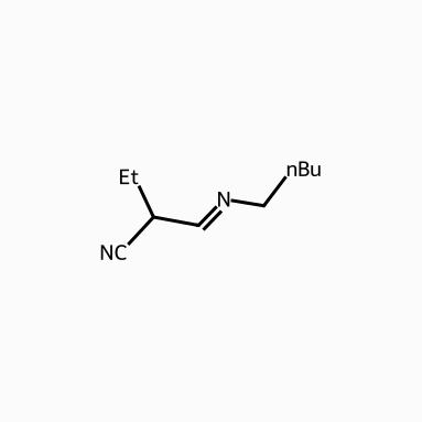 CCCCCN=CC(C#N)CC